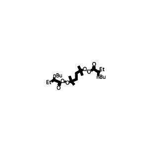 CCCCC(CC)C(=O)OOC(C)(C)CCC(C)(C)OOC(=O)C(CC)CCCC